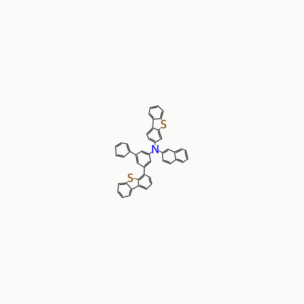 c1ccc(-c2cc(-c3cccc4c3sc3ccccc34)cc(N(c3ccc4ccccc4c3)c3ccc4c(c3)sc3ccccc34)c2)cc1